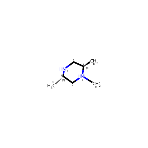 [CH2-][NH+]1C[C@H](C)NC[C@H]1C